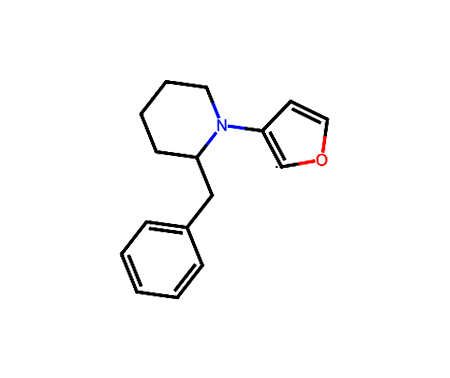 [c]1occc1N1CCCCC1Cc1ccccc1